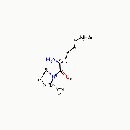 CC(=O)NCCCC[C@H](N)C(=O)N1CCC[C@H]1C#N